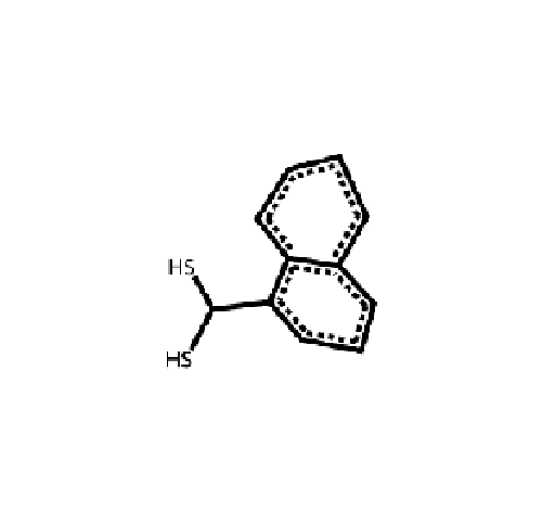 SC(S)c1cccc2ccccc12